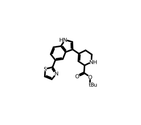 CC(C)(C)OC(=O)C1C=C(c2c[nH]c3ccc(-c4nccs4)cc23)CCN1